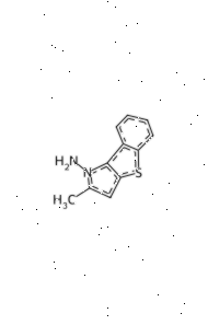 Cc1cc2sc3ccccc3c2n1N